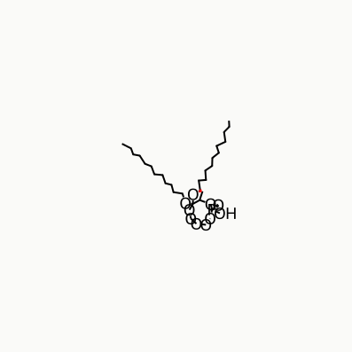 CCCCCCCCCCCCOC1(OCCCCCCCCCCCC)OOOOOP(=O)(O)OC1C